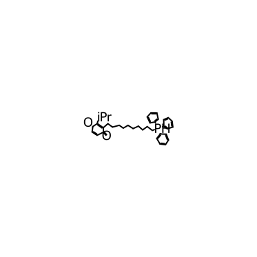 CC(C)C1=C(CCCCCCCCCC[PH](c2ccccc2)(c2ccccc2)c2ccccc2)C(=O)C=CC1=O